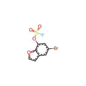 O=S(=O)(F)Oc1cc(Br)cc2ccoc12